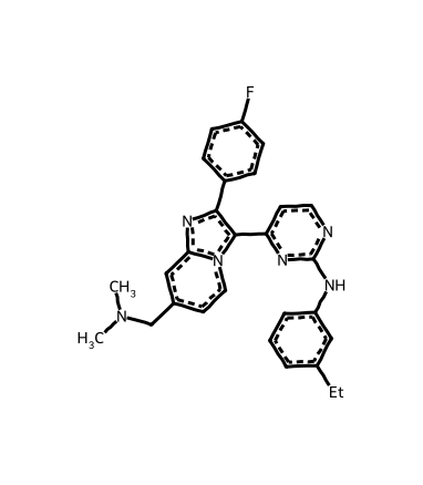 CCc1cccc(Nc2nccc(-c3c(-c4ccc(F)cc4)nc4cc(CN(C)C)ccn34)n2)c1